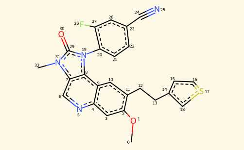 COc1cc2ncc3c(c2cc1CCc1ccsc1)n(-c1ccc(C#N)cc1F)c(=O)n3C